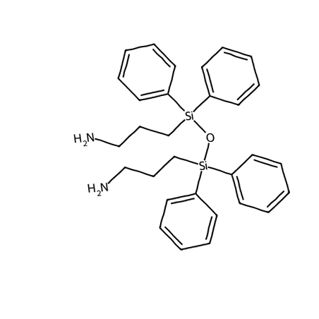 NCCC[Si](O[Si](CCCN)(c1ccccc1)c1ccccc1)(c1ccccc1)c1ccccc1